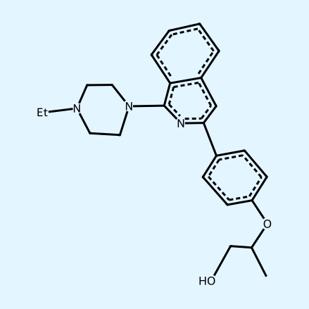 CCN1CCN(c2nc(-c3ccc(OC(C)CO)cc3)cc3ccccc23)CC1